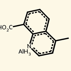 Cc1ccnc2c(C(=O)O)cccc12.[AlH3]